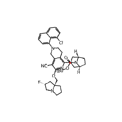 CC(C)(C)OC(=O)N1[C@@H]2CC[C@H]1CN(c1nc(OC[C@@]34CCCN3C[C@H](F)C4)c(C#N)c3c1CCN(c1cccc4cccc(Cl)c14)C3)C2